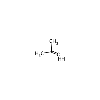 CC(C)=O.[HH]